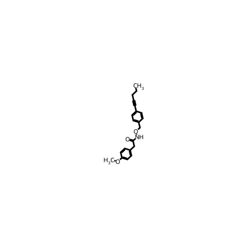 CCCC#Cc1ccc(CONC(=O)Cc2ccc(OC)cc2)cc1